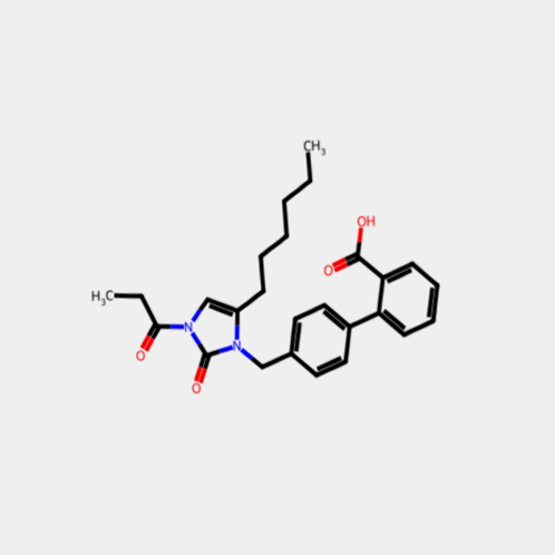 CCCCCCc1cn(C(=O)CC)c(=O)n1Cc1ccc(-c2ccccc2C(=O)O)cc1